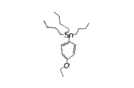 CCC[CH2][Sn]([CH2]CCC)([CH2]CCC)[c]1ccc(OCC)cc1